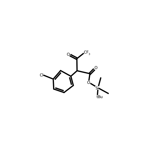 CC(C)(C)[Si](C)(C)OC(=O)C(C(=O)C(F)(F)F)c1cccc(Cl)c1